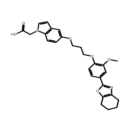 COc1cc(-c2nc3c(o2)CCCC3)ccc1OCCCOc1ccc2c(ccn2CC(=O)O)c1